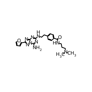 CN(C)CCCNC(=O)c1ccc(CCNc2nc(N)n3nc(-c4ccco4)nc3n2)cc1